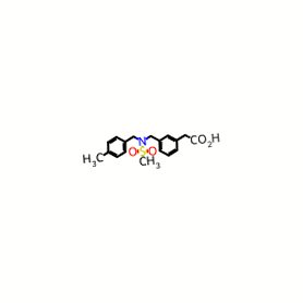 Cc1ccc(CN(Cc2cccc(CC(=O)O)c2)S(C)(=O)=O)cc1